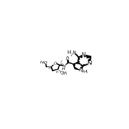 C[C@@]1(NC(=O)c2c[nH]c3ncnc(N)c23)O[C@H](CO)C[C@H]1O